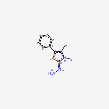 Cc1c(-c2ccccc2)sc(=NN)n1C